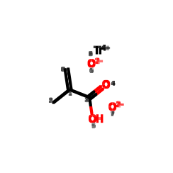 C=C(C)C(=O)O.[O-2].[O-2].[Ti+4]